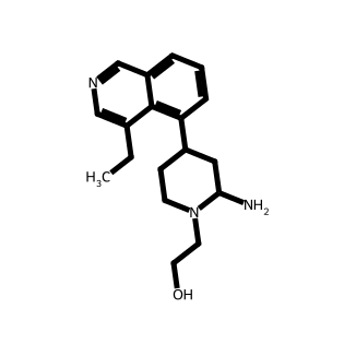 CCc1cncc2cccc(C3CCN(CCO)C(N)C3)c12